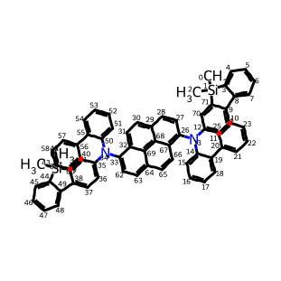 C[Si]1(C)c2ccccc2-c2ccc(N(c3ccccc3-c3ccccc3)c3ccc4ccc5c(N(c6ccc7c(c6)[Si](C)(C)c6ccccc6-7)c6ccccc6-c6ccccc6)ccc6ccc3c4c65)cc21